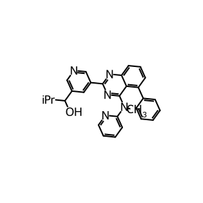 CC(C)C(O)c1cncc(-c2nc(N(C)c3ccccn3)c3c(-c4ccccc4)cccc3n2)c1